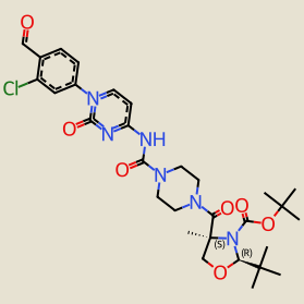 CC(C)(C)OC(=O)N1[C@@H](C(C)(C)C)OC[C@@]1(C)C(=O)N1CCN(C(=O)Nc2ccn(-c3ccc(C=O)c(Cl)c3)c(=O)n2)CC1